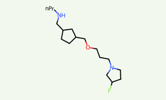 CCCNCC1CCC(COCCCN2CCC(F)C2)C1